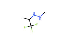 CNNC(C)C(F)(F)F